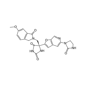 COc1ccc2c(c1)C(=O)N(C[C@@]1(c3cc4cc(N5CCNC5=O)ncc4o3)NC(=O)NC1=O)C2